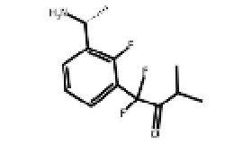 CC(C)C(=O)C(F)(F)c1cccc([C@@H](C)N)c1F